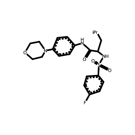 CC(C)CC(NS(=O)(=O)c1ccc(F)cc1)C(=O)Nc1ccc(N2CCOCC2)cc1